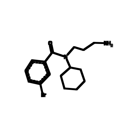 NCCCN(C(=O)c1cccc(Br)c1)C1CCCCC1